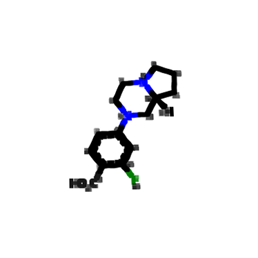 O=C(O)c1ccc(N2CCN3CCC[C@@H]3C2)cc1F